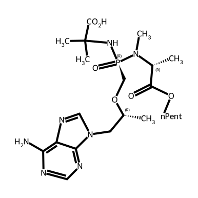 CCCCCOC(=O)[C@@H](C)N(C)[P@@](=O)(CO[C@H](C)Cn1cnc2c(N)ncnc21)NC(C)(C)C(=O)O